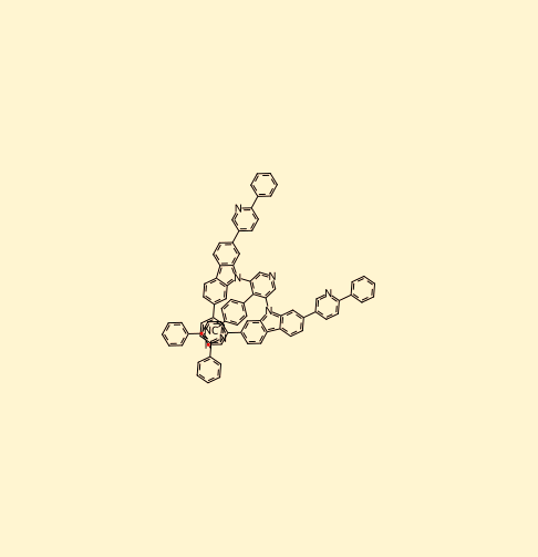 N#Cc1ccc(-c2c(-n3c4cc(-c5ccc(-c6ccccc6)nc5)ccc4c4ccc(-c5ccc(-c6ccccc6)nc5)cc43)cncc2-n2c3cc(-c4ccc(-c5ccccc5)nc4)ccc3c3ccc(-c4ccc(-c5ccccc5)nc4)cc32)cc1